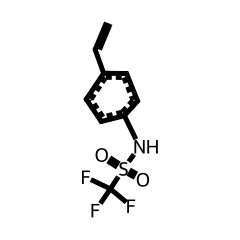 C=Cc1ccc(NS(=O)(=O)C(F)(F)F)cc1